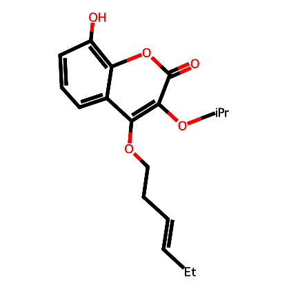 CCC=CCCOc1c(OC(C)C)c(=O)oc2c(O)cccc12